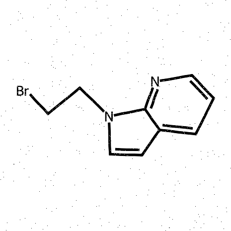 BrCCn1ccc2cccnc21